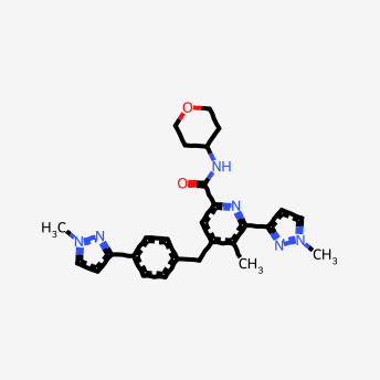 Cc1c(Cc2ccc(-c3ccn(C)n3)cc2)cc(C(=O)NC2CCOCC2)nc1-c1ccn(C)n1